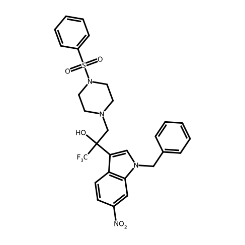 O=[N+]([O-])c1ccc2c(C(O)(CN3CCN(S(=O)(=O)c4ccccc4)CC3)C(F)(F)F)cn(Cc3ccccc3)c2c1